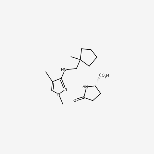 Cc1cn(C)nc1NCC1(C)CCCC1.O=C1CC[C@@H](C(=O)O)N1